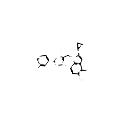 [C-]#[N+]c1ccc2c(cc(C3CC3)n2Cc2nnc(-c3cccc(C(F)(F)F)c3)[nH]2)c1C(F)(F)F